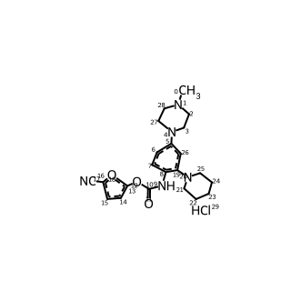 CN1CCN(c2ccc(NC(=O)Oc3ccc(C#N)o3)c(N3CCCCC3)c2)CC1.Cl